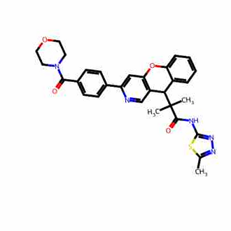 Cc1nnc(NC(=O)C(C)(C)C2c3ccccc3Oc3cc(-c4ccc(C(=O)N5CCOCC5)cc4)ncc32)s1